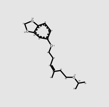 CC(=CCCOc1ccc2c(c1)OCO2)CCOC(C)C